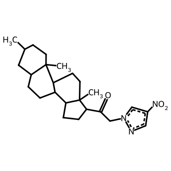 CC1CCC2(C)C(CCC3C2CCC2(C)C(C(=O)Cn4cc([N+](=O)[O-])cn4)CCC32)C1